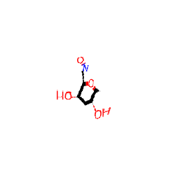 O=NC[C@H]1OC[C@H](O)C[C@@H]1O